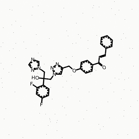 O=C(C=Cc1ccccc1)c1ccc(OCc2cn(CC(O)(Cn3cncn3)c3ccc(F)cc3F)nn2)cc1